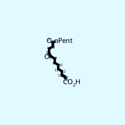 CCCCCC(=O)CCC1OC1CCCCCC=CC(=O)O